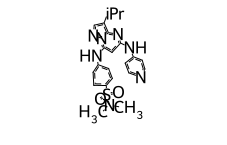 CC(C)c1cnn2c(Nc3ccc(S(=O)(=O)N(C)C)cc3)cc(Nc3ccncc3)nc12